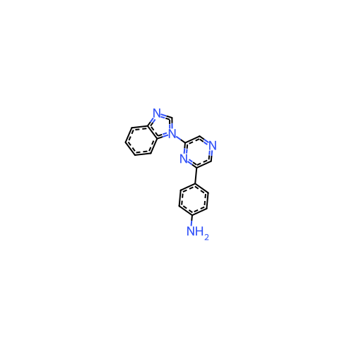 Nc1ccc(-c2cncc(-n3cnc4ccccc43)n2)cc1